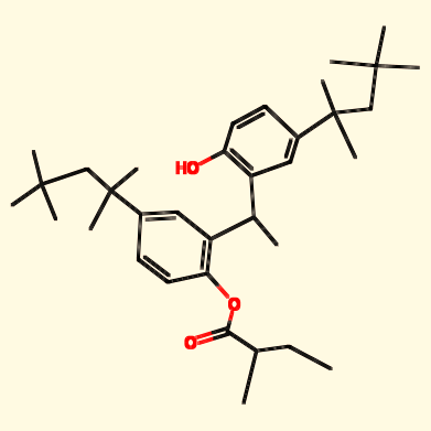 CCC(C)C(=O)Oc1ccc(C(C)(C)CC(C)(C)C)cc1C(C)c1cc(C(C)(C)CC(C)(C)C)ccc1O